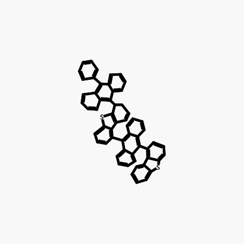 C1=Cc2c(sc3cccc(-c4c5ccccc5c(-c5cccc6sc7ccccc7c56)c5ccccc45)c23)C(c2c3ccccc3c(-c3ccccc3)c3ccccc23)C1